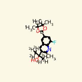 [2H]C([2H])([2H])C(O)(c1cc2cc(B3OC(C)(C)C(C)(C)O3)cc(F)c2nc1C)C([2H])([2H])[2H]